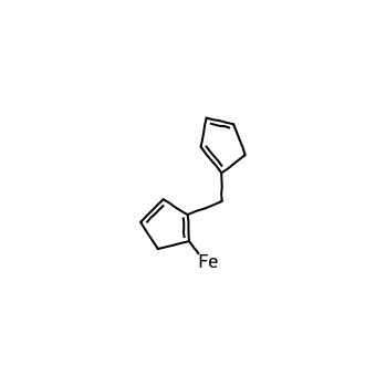 [Fe][C]1=C(CC2=CC=CC2)C=CC1